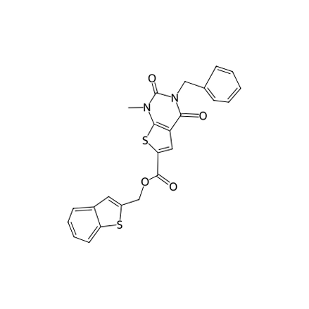 Cn1c(=O)n(Cc2ccccc2)c(=O)c2cc(C(=O)OCc3cc4ccccc4s3)sc21